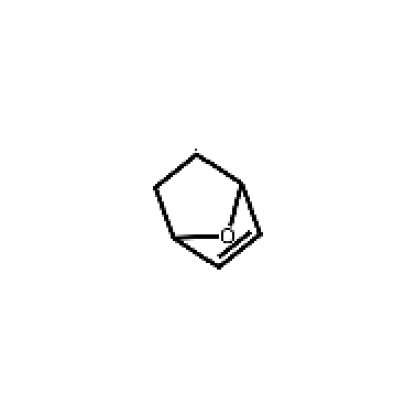 [CH]1CC2C=CC1O2